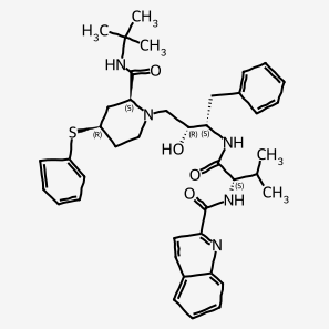 CC(C)[C@H](NC(=O)c1ccc2ccccc2n1)C(=O)N[C@@H](Cc1ccccc1)[C@H](O)CN1CC[C@@H](Sc2ccccc2)C[C@H]1C(=O)NC(C)(C)C